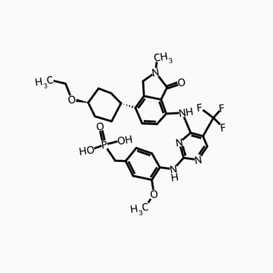 CCO[C@H]1CC[C@H](c2ccc(Nc3nc(Nc4ccc(CP(=O)(O)O)cc4OC)ncc3C(F)(F)F)c3c2CN(C)C3=O)CC1